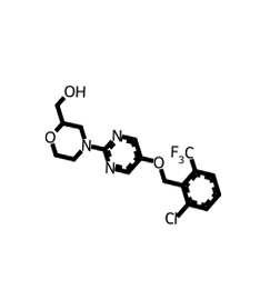 OCC1CN(c2ncc(OCc3c(Cl)cccc3C(F)(F)F)cn2)CCO1